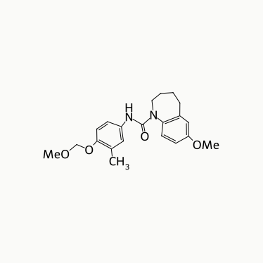 COCOc1ccc(NC(=O)N2CCCCc3cc(OC)ccc32)cc1C